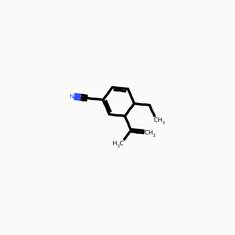 C=C(C)C1C=C(C#N)C=CC1CC